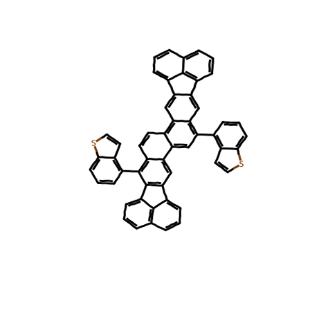 c1cc2c3c(cccc3c1)-c1cc3c(cc1-2)c(-c1cccc2sccc12)cc1c2cc4c(c(-c5cccc6sccc56)c2ccc31)-c1cccc2cccc-4c12